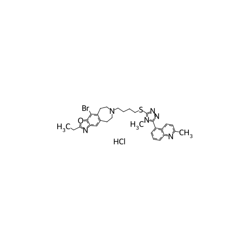 CCc1nc2cc3c(c(Br)c2o1)CCN(CCCCSc1nnc(-c2cccc4nc(C)ccc24)n1C)CC3.Cl